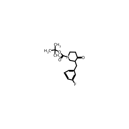 CC(C)(C)OC(=O)N1CCC(=O)C(Cc2cccc(F)c2)C1